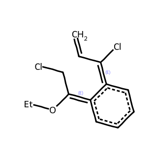 C=C/C(Cl)=c1/cccc/c1=C(/CCl)OCC